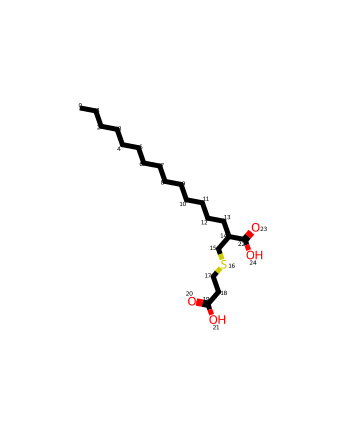 CCCCCCCCCCCCCCC(CSCCC(=O)O)C(=O)O